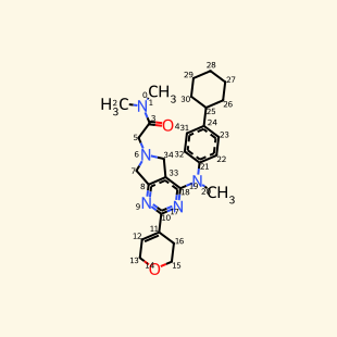 CN(C)C(=O)CN1Cc2nc(C3=CCOCC3)nc(N(C)c3ccc(C4CCCCC4)cc3)c2C1